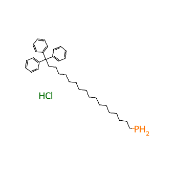 Cl.PCCCCCCCCCCCCCCCCCC(c1ccccc1)(c1ccccc1)c1ccccc1